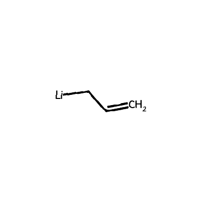 [Li][CH2]C=C